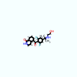 CC(C)(NCCO)c1cc(F)c(C(=O)c2cccc3c(=O)[nH]ccc23)c(F)c1